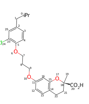 CC(C)Cc1ccc(OCCCOc2ccc3c(c2)O[C@@](C)(C(=O)O)CC3)c(Cl)c1